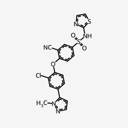 Cn1nccc1-c1ccc(Oc2ccc(S(=O)(=O)Nc3nccs3)cc2C#N)c(Cl)c1